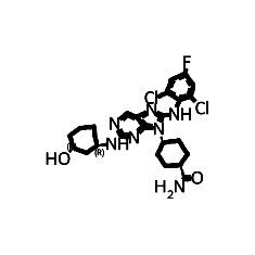 NC(=O)[C@H]1CC[C@H](n2c(Nc3c(Cl)cc(F)cc3Cl)nc3cnc(N[C@@H]4CCC[C@@H](O)C4)nc32)CC1